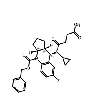 O=C(O)CCC(=O)N(C1CC1)[C@H]1c2cc(F)ccc2N(C(=O)OCc2ccccc2)[C@@H]2CCC[C@@H]21